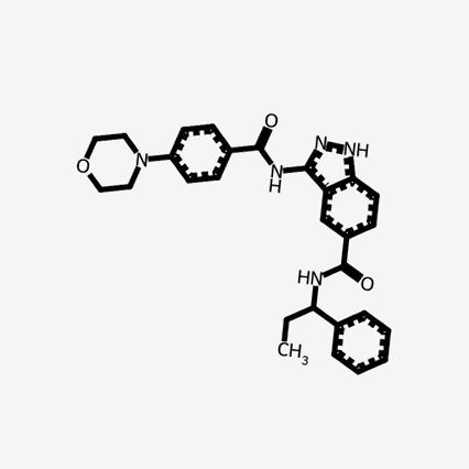 CCC(NC(=O)c1ccc2[nH]nc(NC(=O)c3ccc(N4CCOCC4)cc3)c2c1)c1ccccc1